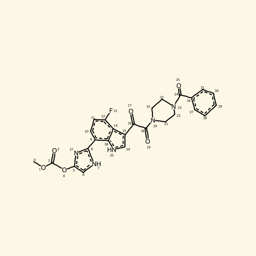 COC(=O)Oc1c[nH]c(-c2ccc(F)c3c(C(=O)C(=O)N4CCN(C(=O)c5ccccc5)CC4)c[nH]c23)n1